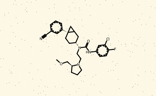 COC[C@@H]1CCCN1CCN(C(=O)Nc1ccc(F)c(Cl)c1)[C@@H]1CC[C@@]2(c3cccc(C#N)c3)CC2C1